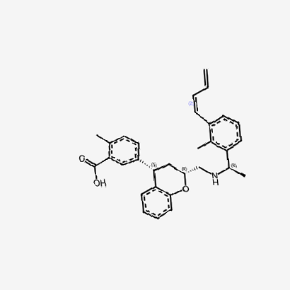 C=C/C=C\c1cccc([C@@H](C)NC[C@H]2C[C@@H](c3ccc(C)c(C(=O)O)c3)c3ccccc3O2)c1C